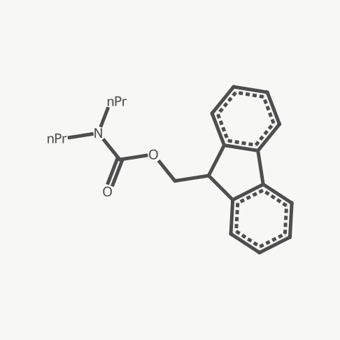 CCCN(CCC)C(=O)OCC1c2ccccc2-c2ccccc21